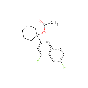 CC(=O)OC1(c2cc(F)c3cc(F)ccc3c2)CCCCC1